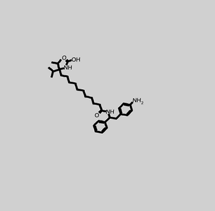 CC(C)C(CCCCCCCCCCC(=O)NC(Cc1ccc(N)cc1)c1ccccc1)(NC(=O)O)C(C)C